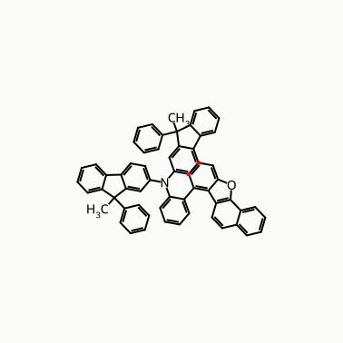 CC1(c2ccccc2)c2ccccc2-c2ccc(N(c3ccc4c(c3)C(C)(c3ccccc3)c3ccccc3-4)c3ccccc3-c3cccc4oc5c6ccccc6ccc5c34)cc21